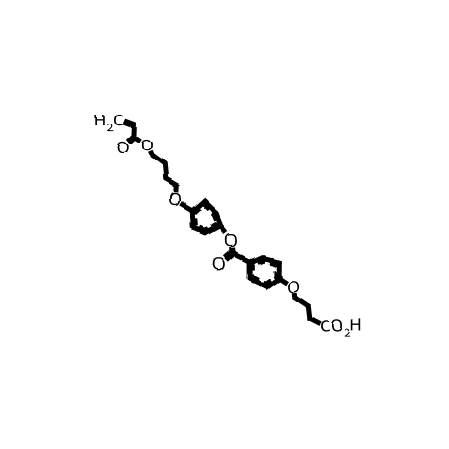 C=CC(=O)OCCCCOc1ccc(OC(=O)c2ccc(OCCCC(=O)O)cc2)cc1